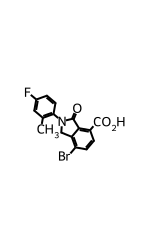 Cc1cc(F)ccc1N1Cc2c(Br)ccc(C(=O)O)c2C1=O